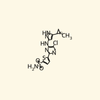 C[C@H]1CC1c1cc(Nc2nc(-c3ccc(S(N)(=O)=O)s3)ncc2Cl)n[nH]1